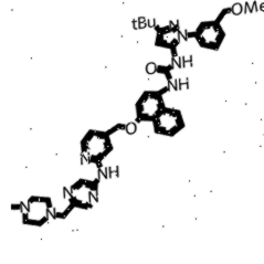 COCc1cccc(-n2nc(C(C)(C)C)cc2NC(=O)Nc2ccc(OCc3ccnc(Nc4cnc(CN5CCN(C)CC5)cn4)c3)c3ccccc23)c1